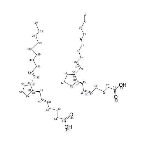 CCCCCCCC/C=C/[C@H]1CCC[C@@H]1C/C=C\CCCC(=O)O.CCCCCCCCC=C[C@H]1CCC[C@@H]1CC=CCCCC(=O)O